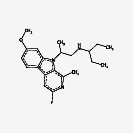 CCC(CC)NCC(C)n1c2cc(OC)ccc2c2cc(F)nc(C)c21